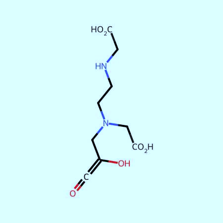 O=C=C(O)CN(CCNCC(=O)O)CC(=O)O